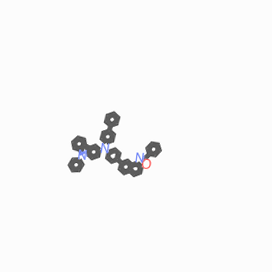 C1=C(c2ccc3ccc4oc(-c5ccccc5)nc4c3c2)CCC(N(c2ccc(-c3ccccc3)cc2)c2ccc3c(c2)c2ccccc2n3-c2ccccc2)=C1